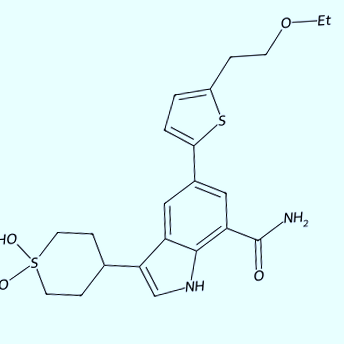 CCOCCc1ccc(-c2cc(C(N)=O)c3[nH]cc(C4CCS(O)(O)CC4)c3c2)s1